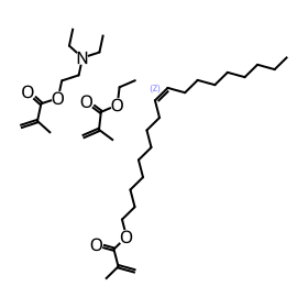 C=C(C)C(=O)OCC.C=C(C)C(=O)OCCCCCCCC/C=C\CCCCCCCC.C=C(C)C(=O)OCCN(CC)CC